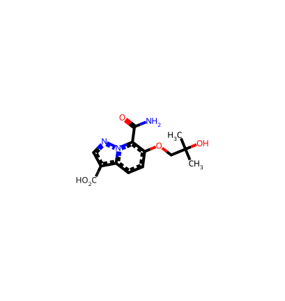 CC(C)(O)COc1ccc2c(C(=O)O)cnn2c1C(N)=O